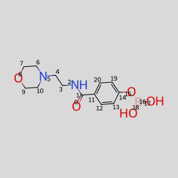 O=C(NCCN1CCOCC1)c1ccc(OB(O)O)cc1